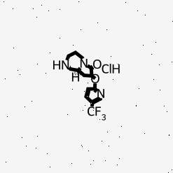 Cl.O=C1C(Oc2ccc(C(F)(F)F)cn2)C[C@H]2CNCCCN12